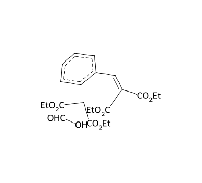 CCOC(=O)C(=Cc1ccccc1)C(=O)OCC.CCOC(=O)CC(=O)OCC.O=CO